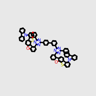 c1ccc(-c2nc(-c3cccc(-c4ccc(-c5nc(-c6ccccc6)nc(-c6cccc7oc8ccc9c(sc%10cccc(-n%11c%12ccccc%12c%12ccccc%12%11)c%109)c8c67)n5)cc4)c3)nc(-c3cccc4oc5c(ccc6c5sc5cccc(-n7c8ccccc8c8ccccc87)c56)c34)n2)cc1